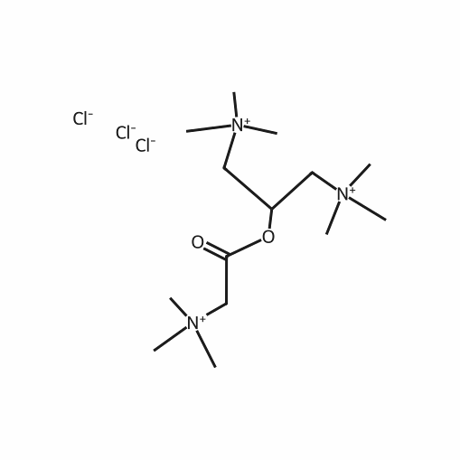 C[N+](C)(C)CC(=O)OC(C[N+](C)(C)C)C[N+](C)(C)C.[Cl-].[Cl-].[Cl-]